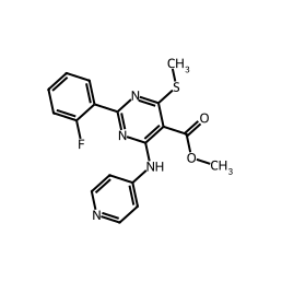 COC(=O)c1c(Nc2ccncc2)nc(-c2ccccc2F)nc1SC